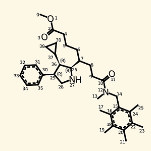 COC(=O)CCCC(CCC(=O)N(C)Cc1c(C)c(C)c(C)c(C)c1C)[C@H]1NC[C@@H](c2ccccc2)[C@H]1C1CC1